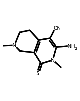 CN1CCc2c(C#N)c(N)n(C)c(=S)c2C1